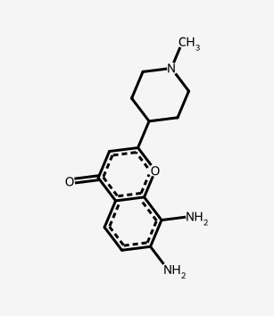 CN1CCC(c2cc(=O)c3ccc(N)c(N)c3o2)CC1